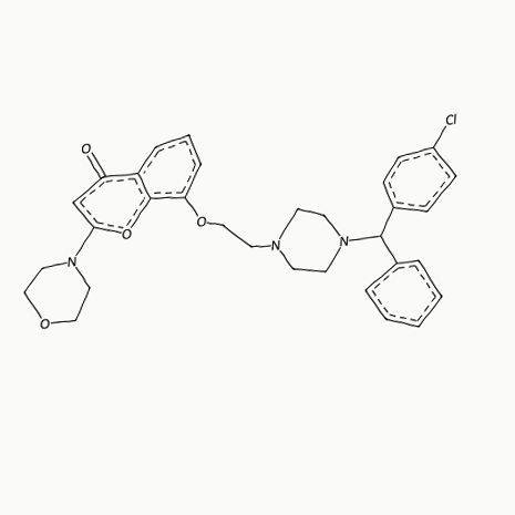 O=c1cc(N2CCOCC2)oc2c(OCCN3CCN(C(c4ccccc4)c4ccc(Cl)cc4)CC3)cccc12